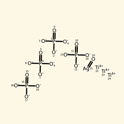 O=P([O-])([O-])[O-].O=P([O-])([O-])[O-].O=P([O-])([O-])[O-].O=P([O-])([O-])[O-].[O]=[Ag].[Ti+4].[Ti+4].[Ti+4]